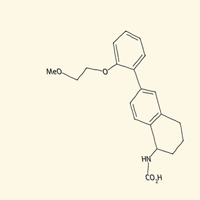 COCCOc1ccccc1-c1ccc2c(c1)CCCC2NC(=O)O